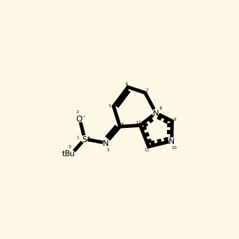 CC(C)(C)[S+]([O-])/N=C1\C=CCn2cncc21